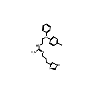 NC(=NCCCc1c[nH]cn1)NCCN(c1ccccc1)c1ccc(F)cc1